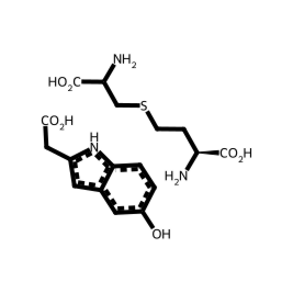 NC(CSCC[C@H](N)C(=O)O)C(=O)O.O=C(O)Cc1cc2cc(O)ccc2[nH]1